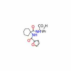 CC(C)C(NC(=O)C1(NC(=O)c2ccco2)CCCCC1)C(=O)O